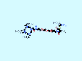 CC1=C(SC[C@H](N)C(=O)O)C(=O)N(CCCOCCOCCOCCCNC(=O)CN2CCN(CC(=O)O)CCN(CC(=O)O)CCN(CC(=O)O)CC2)C1=O